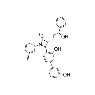 O=C1[C@H](CC[C@H](O)c2ccccc2)[C@@H](c2ccc(-c3cccc(O)c3)cc2O)N1c1cccc(F)c1